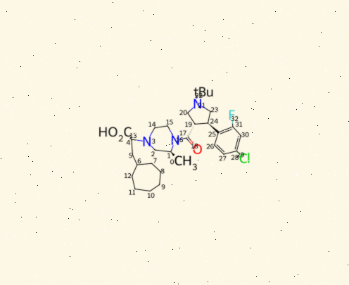 C[C@H]1CN([C@@H](CC2CCCCCC2)C(=O)O)CCN1C(=O)[C@@H]1CN(C(C)(C)C)C[C@H]1c1ccc(Cl)cc1F